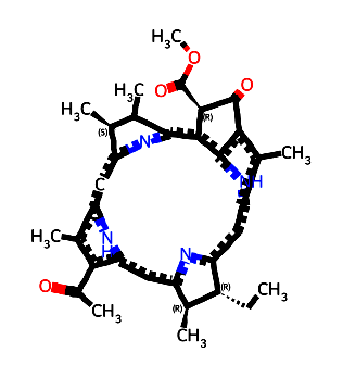 CC[C@H]1c2cc3[nH]c4c(c3C)C(=O)[C@H](C(=O)OC)c4c3nc(cc4[nH]c(cc(n2)[C@@H]1C)c(C(C)=O)c4C)[C@@H](C)C3C